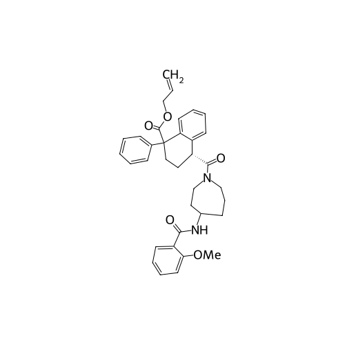 C=CCOC(=O)C1(c2ccccc2)CC[C@@H](C(=O)N2CCCC(NC(=O)c3ccccc3OC)CC2)c2ccccc21